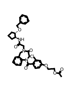 CC(=O)OCCOc1ccc(C(=O)N2CC(=O)N(CC(=O)N[C@H]3CCC[C@@H]3OCc3ccccc3)Cc3ccccc32)c(Cl)c1